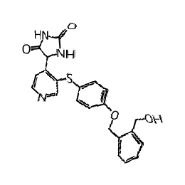 O=C1NC(=O)C(c2ccncc2Sc2ccc(OCc3ccccc3CO)cc2)N1